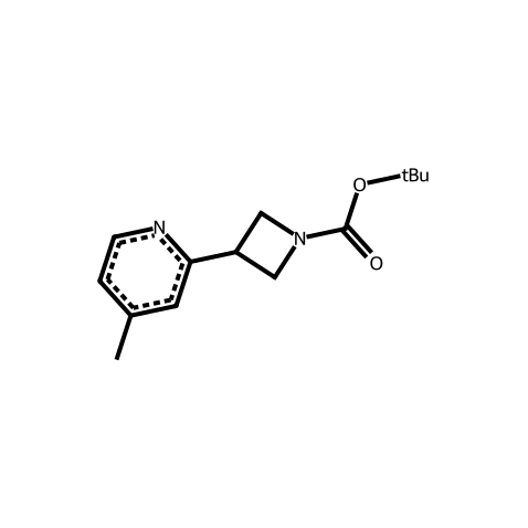 Cc1ccnc(C2CN(C(=O)OC(C)(C)C)C2)c1